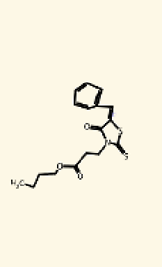 CCCCOC(=O)CCN1C(=O)/C(=C\c2ccccc2)SC1=S